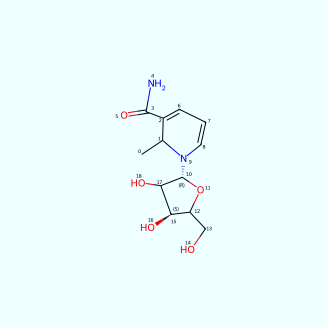 CC1C(C(N)=O)=CC=CN1[C@@H]1OC(CO)[C@@H](O)C1O